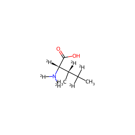 [2H]N([2H])[C@]([2H])(C(=O)O)[C@@]([2H])(C)C([2H])([2H])C